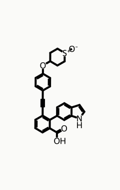 O=C(O)c1cccc(C#Cc2ccc(OC3CC[S+]([O-])CC3)cc2)c1-c1ccc2cc[nH]c2c1